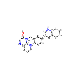 O=c1cnc2cccnc2n1Cc1cccc(-c2cnc3ccccc3c2)c1